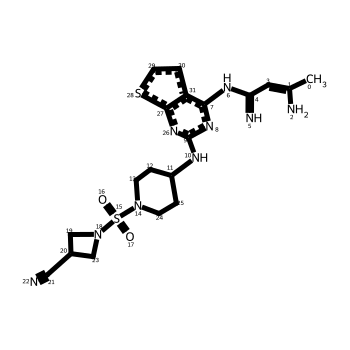 C/C(N)=C/C(=N)Nc1nc(NC2CCN(S(=O)(=O)N3CC(C#N)C3)CC2)nc2sccc12